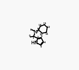 CC(c1ccc[nH]1)N(C)C1CCCCC1